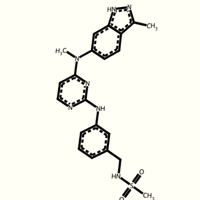 Cc1n[nH]c2cc(N(C)c3ccnc(Nc4cccc(CNS(C)(=O)=O)c4)n3)ccc12